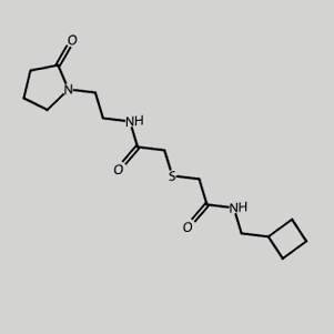 O=C(CSCC(=O)NCC1CCC1)NCCN1CCCC1=O